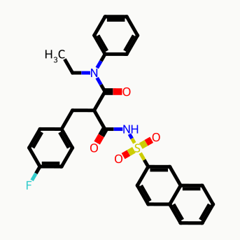 CCN(C(=O)C(Cc1ccc(F)cc1)C(=O)NS(=O)(=O)c1ccc2ccccc2c1)c1ccccc1